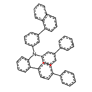 c1ccc(-c2ccc(-c3ccccc3N(c3cccc(-c4ccccc4)c3)c3cccc(-c4cccc5ccccc45)c3)cc2)cc1